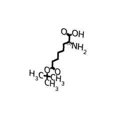 CC(C)(C)OC(=O)CCCCC[C@H](N)C(=O)O